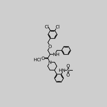 CS(=O)(=O)Nc1ccccc1C1CCN(C(=O)C(COCc2ccc(Cl)c(Cl)c2)NCc2ccccc2)CC1.Cl